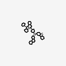 c1ccc(-c2c3ccccc3n3c(-c4ccc(N(c5ccc6c(ccc7ccccc76)c5)c5ccc6sc7ccccc7c6c5)cc4)cc4ccccc4c23)cc1